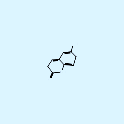 O=C1CC=C2C=C(O)CC=C2N1